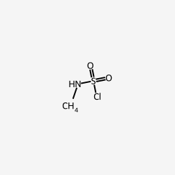 C.CNS(=O)(=O)Cl